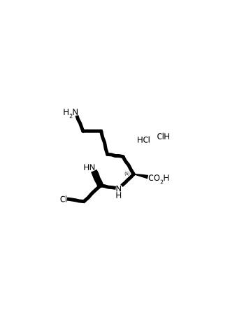 Cl.Cl.N=C(CCl)N[C@@H](CCCCN)C(=O)O